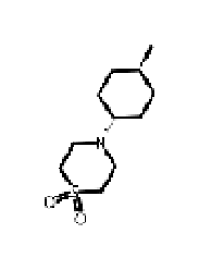 C[C@H]1CC[C@H](N2CCS(=O)(=O)CC2)CC1